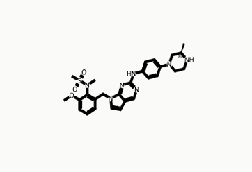 COc1cccc(Cn2ccc3cnc(Nc4ccc(N5CCN[C@H](C)C5)cc4)nc32)c1N(C)S(C)(=O)=O